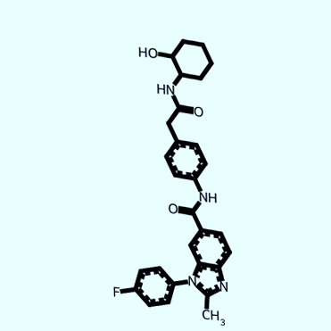 Cc1nc2ccc(C(=O)Nc3ccc(CC(=O)NC4CCCCC4O)cc3)cc2n1-c1ccc(F)cc1